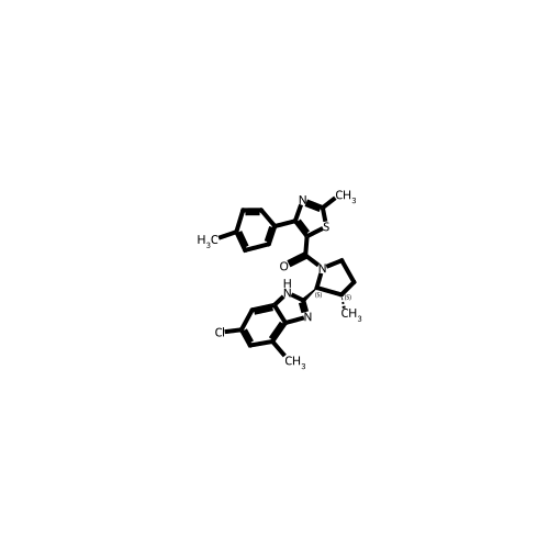 Cc1ccc(-c2nc(C)sc2C(=O)N2CC[C@H](C)[C@H]2c2nc3c(C)cc(Cl)cc3[nH]2)cc1